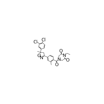 CCN1C(=O)CN(C(=O)c2ccc(C3=NOC(C)(c4ccc(Cl)c(Cl)c4)C3)cc2C)CC1=O